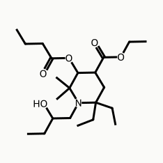 CCCC(=O)OC1C(C(=O)OCC)CC(CC)(CC)N(CC(O)CC)C1(C)C